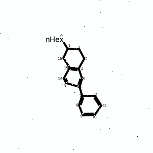 CCCCCCC1CCc2cc(-c3ccccc3)ccc2C1